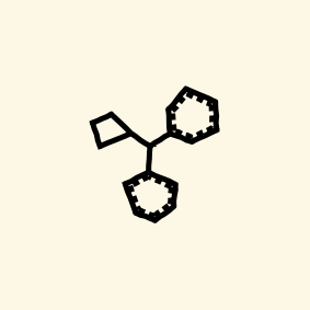 c1ccc([C](c2ccccc2)C2CCC2)cc1